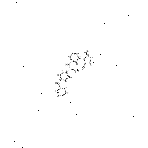 CC(Nc1ncnc(N2C(=O)OC[C@@H]2C(C)C)n1)c1ccc(Oc2ccccc2)cn1